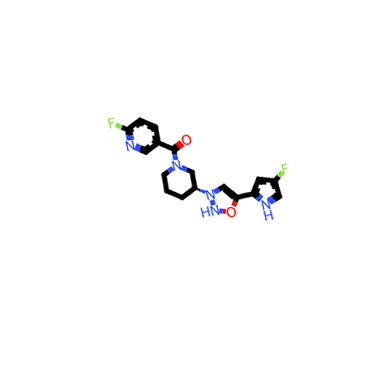 O=C(c1ccc(F)nc1)N1CCC[C@H](N2C=C(c3cc(F)c[nH]3)ON2)C1